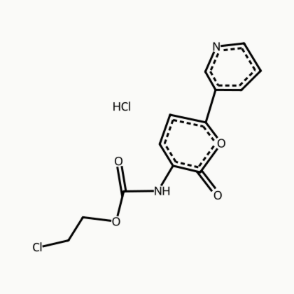 Cl.O=C(Nc1ccc(-c2cccnc2)oc1=O)OCCCl